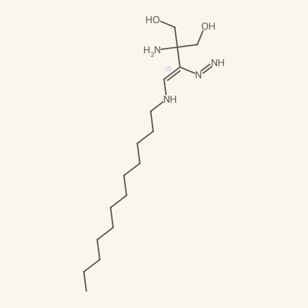 CCCCCCCCCCCCN/C=C(\N=N)C(N)(CO)CO